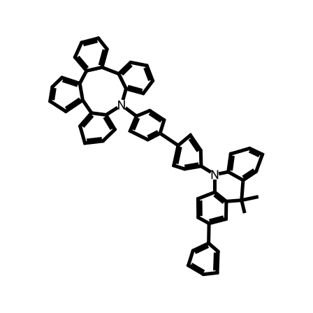 CC1(C)c2ccccc2N(c2ccc(-c3ccc(-n4c5ccccc5c5ccccc5c5ccccc5c5ccccc54)cc3)cc2)c2ccc(-c3ccccc3)cc21